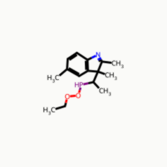 CCOOPC(C)C1(C)C(C)=Nc2ccc(C)cc21